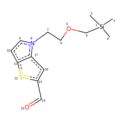 C[Si](C)(C)COCCn1ccc2sc(C=O)cc21